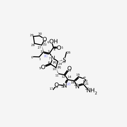 CC/C(=C(/C(=O)O)N1C(=O)[C@@H](CC(=O)/C(=N\OC)c2csc(N)n2)[C@H]1SC)[C@@H]1CCCO1